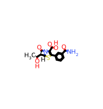 C[C@@H](O)[C@H]1C(=O)N2C(C(=O)O)=C(c3cccc(C(N)=O)c3)S[C@H]12